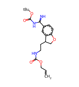 C=CCOC(=O)NCCC1COc2ccc(C(=N)NC(=O)OC(C)(C)C)cc21